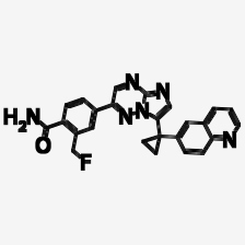 NC(=O)c1ccc(-c2cnc3ncc(C4(c5ccc6ncccc6c5)CC4)n3n2)cc1CF